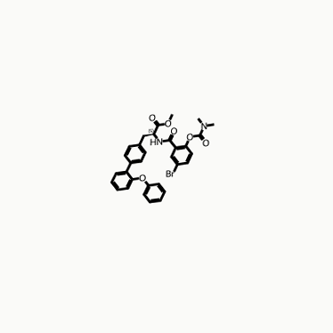 COC(=O)[C@H](Cc1ccc(-c2ccccc2Oc2ccccc2)cc1)NC(=O)c1cc(Br)ccc1OC(=O)N(C)C